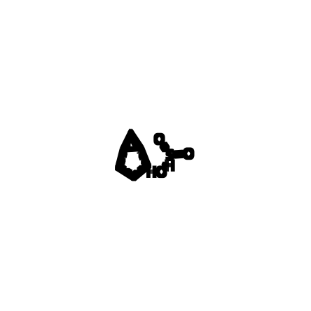 O=[SH](=O)O.c1cc2cc-2c1